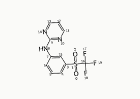 O=S(=O)(c1cccc(Nc2ncccn2)c1)C(F)(F)F